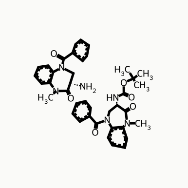 CN1C(=O)[C@@H](N)CN(C(=O)c2ccccc2)c2ccccc21.CN1C(=O)[C@@H](NC(=O)OC(C)(C)C)CN(C(=O)c2ccccc2)c2ccccc21